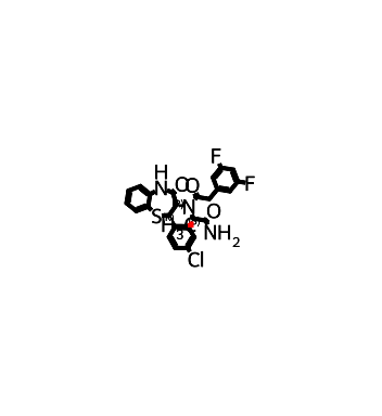 C[C@@H](C(N)=O)N(C(=O)Cc1cc(F)cc(F)c1)[C@@H]1C(=O)Nc2ccccc2S[C@@H]1c1ccc(Cl)cc1